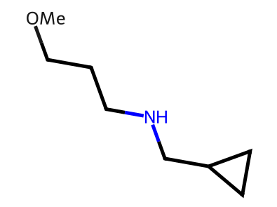 COCCCNCC1CC1